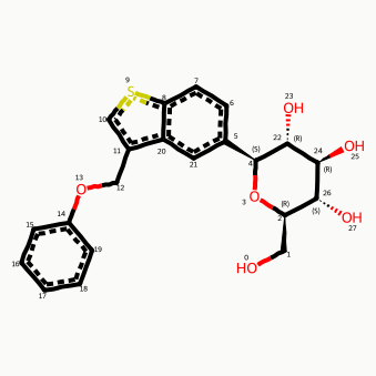 OC[C@H]1O[C@@H](c2ccc3scc(COc4ccccc4)c3c2)[C@H](O)[C@@H](O)[C@@H]1O